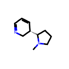 CN1CCCC1[C@H]1C=CC=NC1